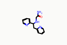 NC(=O)CNC(Cc1ccccn1)c1ccccn1